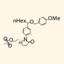 CCCCCCC(OCc1ccc(OC)cc1)c1ccc(N2C(=O)CC[C@@H]2CCOS(C)(=O)=O)cc1